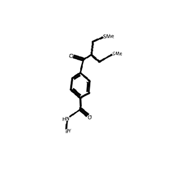 CSCC(CSC)C(=O)c1ccc(C(=O)NC(C)C)cc1